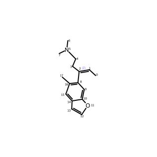 C/C=C(/CCN(C)C)c1cc2occc2cc1C